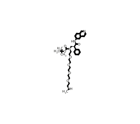 CNCCOCCOCCOCCOCCN(C[C@@H](C(=O)Nc1ccc2cnccc2c1)c1ccccc1)C(=O)OC(C)(C)C